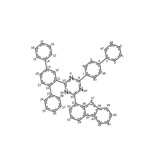 c1ccc(-c2ccc(-c3nc(-c4cc(-c5ccccc5)ccc4-c4ccccc4)nc(-c4cccc5c4sc4ccccc45)n3)cc2)cc1